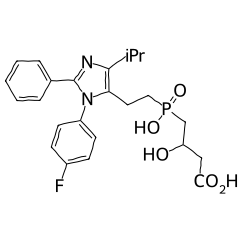 CC(C)c1nc(-c2ccccc2)n(-c2ccc(F)cc2)c1CCP(=O)(O)CC(O)CC(=O)O